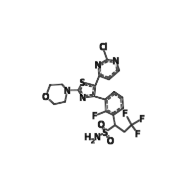 NS(=O)(=O)C(CC(F)(F)F)c1cccc(-c2nc(N3CCOCC3)sc2-c2ccnc(Cl)n2)c1F